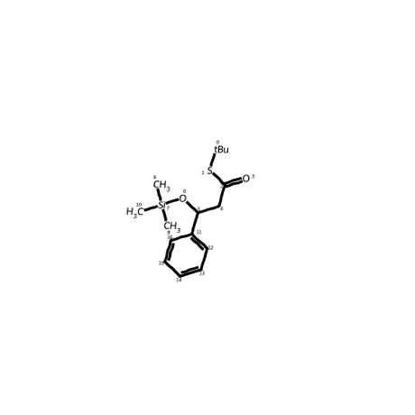 CC(C)(C)SC(=O)CC(O[Si](C)(C)C)c1ccccc1